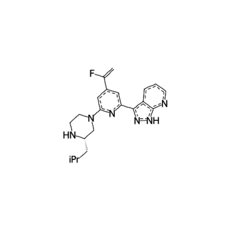 C=C(F)c1cc(-c2n[nH]c3ncccc23)nc(N2CCN[C@@H](CC(C)C)C2)c1